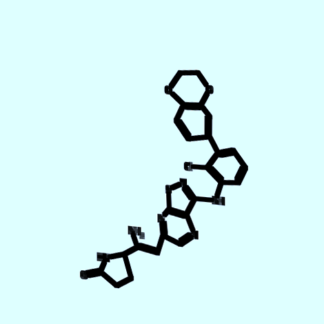 NC(=Cc1cnc2c(Nc3cccc(-c4ccc5c(c4)OCCO5)c3Cl)nsc2n1)C1CCC(=O)N1